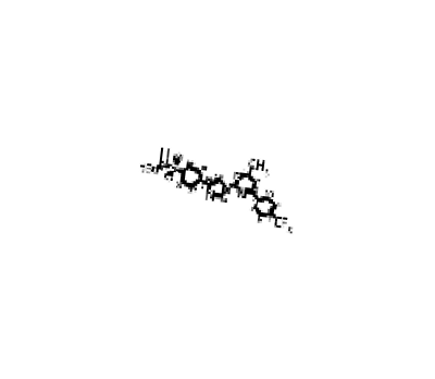 Cc1cc(-c2ccc(C(F)(F)F)cc2)nc(-n2cnc(-c3ccc(S(=O)(=O)NC(C)(C)C)cc3)c2)n1